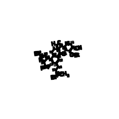 CCOc1cc([C@H](C)N2CCc3c(cc(CCN(C)CC)cc3-c3cn(CC)nc3C(F)F)C2=O)ncc1C#N